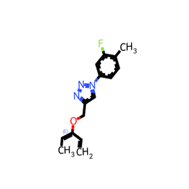 C=C/C(=C\C)OCc1cn(-c2ccc(C)c(F)c2)nn1